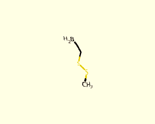 BCSSC